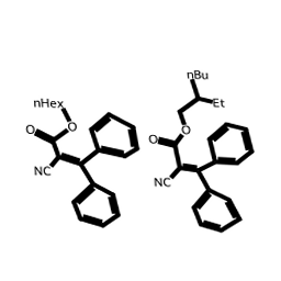 CCCCC(CC)COC(=O)C(C#N)=C(c1ccccc1)c1ccccc1.CCCCCCOC(=O)C(C#N)=C(c1ccccc1)c1ccccc1